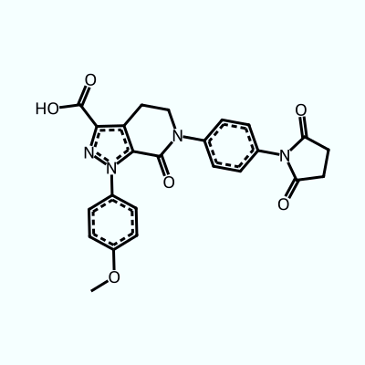 COc1ccc(-n2nc(C(=O)O)c3c2C(=O)N(c2ccc(N4C(=O)CCC4=O)cc2)CC3)cc1